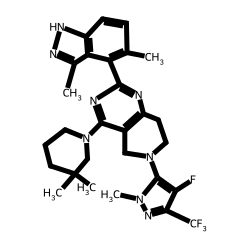 Cc1ccc2[nH]nc(C)c2c1-c1nc2c(c(N3CCCC(C)(C)C3)n1)CN(c1c(F)c(C(F)(F)F)nn1C)CC2